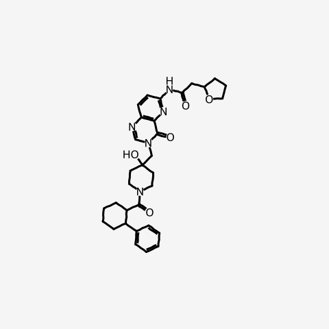 O=C(CC1CCCO1)Nc1ccc2ncn(CC3(O)CCN(C(=O)C4CCCCC4c4ccccc4)CC3)c(=O)c2n1